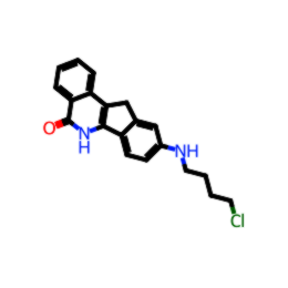 O=c1[nH]c2c(c3ccccc13)Cc1cc(NCCCCCl)ccc1-2